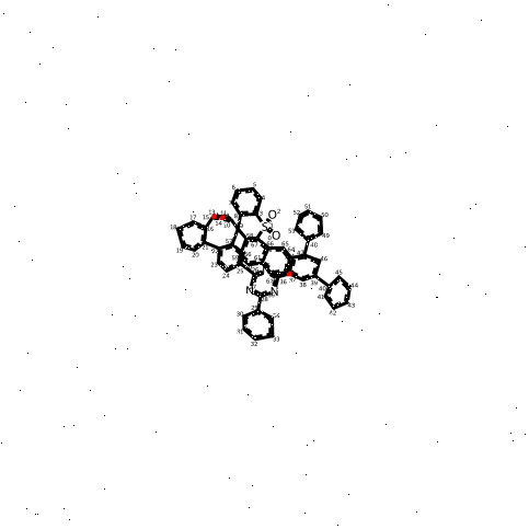 O=S1(=O)c2ccccc2C2(c3ccccc3-c3ccccc3-c3ccc(-c4nc(-c5ccccc5)nc(-c5cc(-c6ccccc6)cc(-c6ccccc6)c5)n4)cc32)c2ccc3ccccc3c21